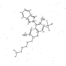 CC(C)CCCCCC(Cc1cc(-n2nc3ccccc3n2)c(O)c(C(C)(C)C)c1)C(=O)O